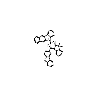 CC1(C)c2ccccc2-c2c(-c3ccc4sc5ccccc5c4c3)nc(-n3c4ccccc4c4cc5ccccc5cc43)nc21